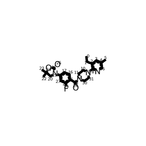 CCc1cc(C)cnc1N1CCN(C(=O)c2ccc(N3CC(C)(C)OC3=O)cc2F)CC1